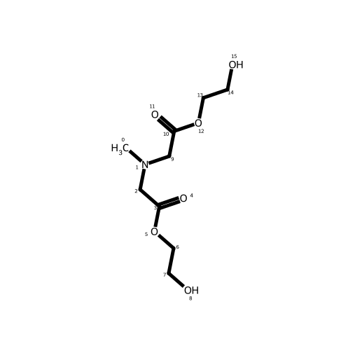 CN(CC(=O)OCCO)CC(=O)OCCO